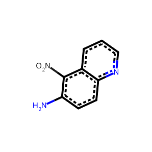 Nc1ccc2ncccc2c1[N+](=O)[O-]